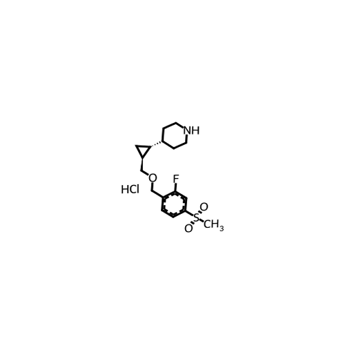 CS(=O)(=O)c1ccc(COC[C@H]2C[C@@H]2C2CCNCC2)c(F)c1.Cl